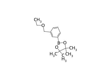 CCOCc1cccc(B2OC(C)(C)C(C)(C)O2)c1